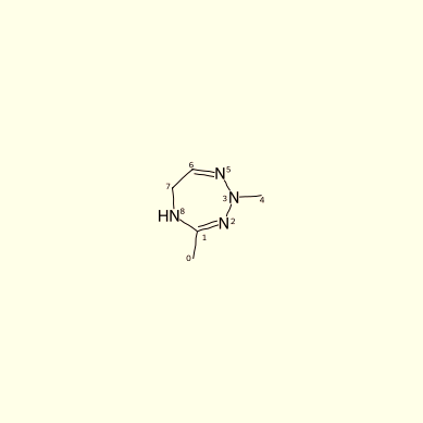 CC1=NN(C)N=CCN1